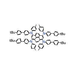 Cc1ccc(N(c2ccc(-c3ccc(C(C)(C)C)cc3)cc2)c2cc(N(c3ccc(C)cc3)c3ccc(-c4ccc(C(C)(C)C)cc4)cc3)c3ccc4c(N(c5ccc(C)cc5)c5ccc(-c6ccc(C(C)(C)C)cc6)cc5)cc(N(c5ccc(C)cc5)c5ccc(-c6ccc(C(C)(C)C)cc6)cc5)c5ccc2c3c54)cc1